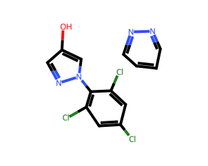 Oc1cnn(-c2c(Cl)cc(Cl)cc2Cl)c1.c1ccnnc1